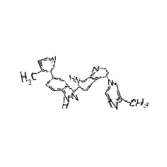 Cc1cn(-c2ccnc3[nH]c(-c4n[nH]c5ccc(-c6cnccc6C)cc45)cc23)cn1